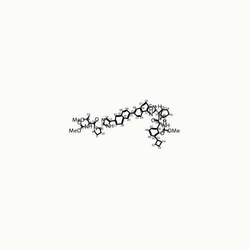 COC(=O)N[C@H](C(=O)N1CCC[C@H]1c1ncc(-c2ccc3cc(-c4ccc5c(ccc6nc([C@@H]7[C@H]8CC[C@H](C8)N7C(=O)[C@H](NC(=O)OC)c7cccc(C8CCC8)c7)[nH]c65)c4)ccc3c2)[nH]1)[C@@H](C)OC